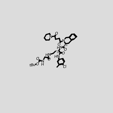 Cc1cc(NC(=O)[C@H](CCNC(=O)CNC(=O)OC(C)(C)C)NC(=O)[C@@H]2Cc3ccccc3CN2C(=O)CCC(=O)N2CCCCC2)ccc1Cl